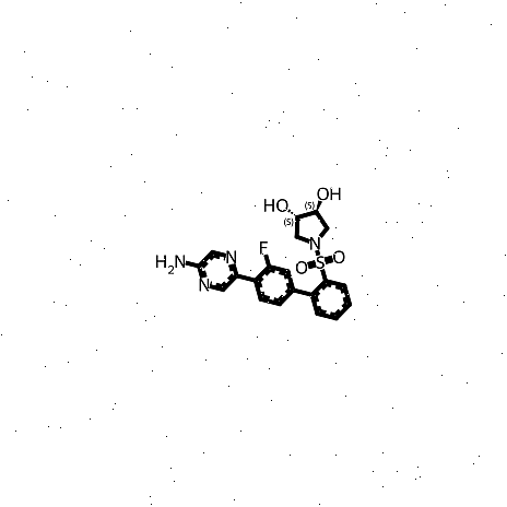 Nc1cnc(-c2ccc(-c3ccccc3S(=O)(=O)N3C[C@H](O)[C@@H](O)C3)cc2F)cn1